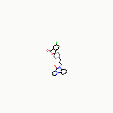 O=C1OC2(CCN(CCCn3c(=O)c4cccn4c4ccccc43)CC2)c2ccc(Cl)cc21